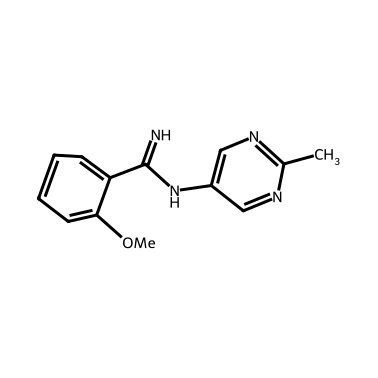 COc1ccccc1C(=N)Nc1cnc(C)nc1